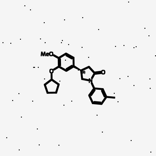 COc1ccc([C@H]2CC(=O)N(c3cccc(C)c3)C2)cc1OC1CCCC1